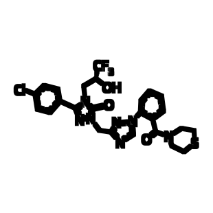 O=C(c1ccccc1-n1cnc(Cn2nc(-c3ccc(Cl)cc3)n(C[C@H](O)C(F)(F)F)c2=O)n1)N1CCSCC1